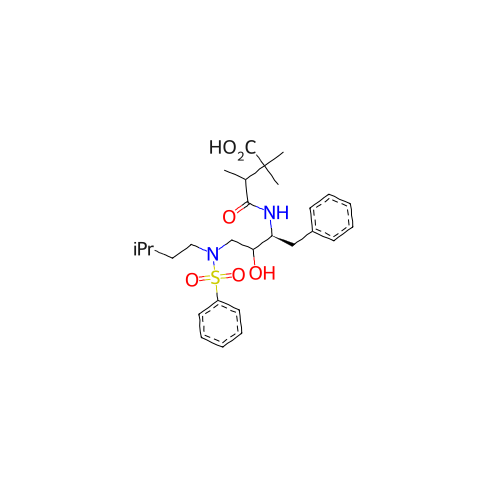 CC(C)CCN(CC(O)[C@H](Cc1ccccc1)NC(=O)C(C)C(C)(C)C(=O)O)S(=O)(=O)c1ccccc1